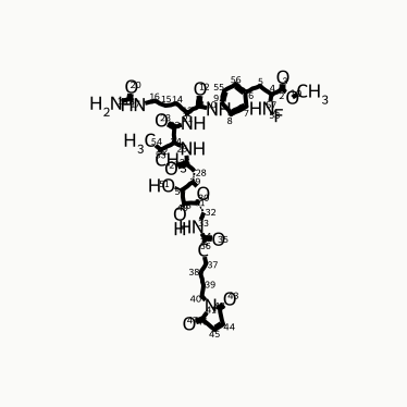 COC(=O)C(Cc1ccc(NC(=O)C(CCCNC(N)=O)NC(=O)C(NC(=O)C[C@@H]2O[C@H](CNC(=O)CCCCCN3C(=O)C=CC3=O)[C@@H](O)[C@H]2O)C(C)C)cc1)NF